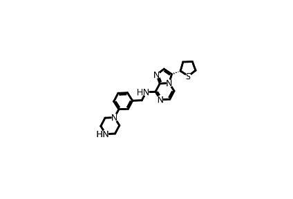 c1cc(CNc2nccn3c([C@@H]4CCCS4)cnc23)cc(N2CCNCC2)c1